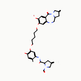 C=C1CC(C(O)Nc2cc(OCCCCCOc3cc4c(cc3OC)C(=O)N3CC(=C)CC3CN4)c(OC)cc2C)N(C=O)C1